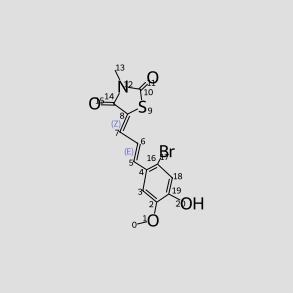 COc1cc(/C=C/C=C2\SC(=O)N(C)C2=O)c(Br)cc1O